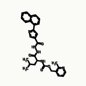 Cc1ncccc1COC(=O)N[C@@H](CC(C)C)C(=O)NNC(=O)c1csc(-c2cccc3ccccc23)c1